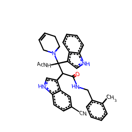 CC(=O)NC(c1c[nH]c2ccccc12)(C(C(=O)NCc1ccccc1C)c1c[nH]c2ccc(C#N)cc12)N1CC=CCC1